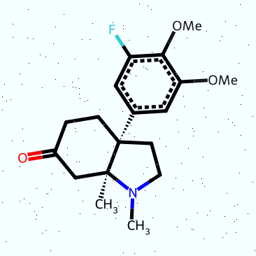 COc1cc([C@@]23CCC(=O)C[C@]2(C)N(C)CC3)cc(F)c1OC